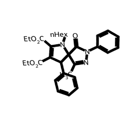 CCCCCCN1C(C(=O)OCC)=C(C(=O)OCC)C(c2ccccc2)C12C(=O)N(c1ccccc1)N=C2C